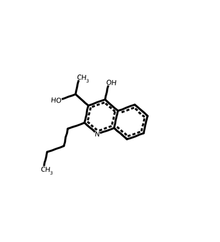 CCCCc1nc2ccccc2c(O)c1C(C)O